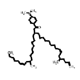 C=CCCC(C)C/C=C\CCCCCCCCC(CCCCCCCCC(C)C/C=C\CCCCC)CC(=O)C1CCC(N(C)C)CC1